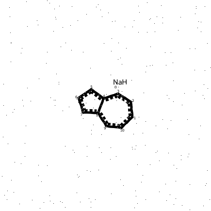 [NaH].c1ccc2cccc-2cc1